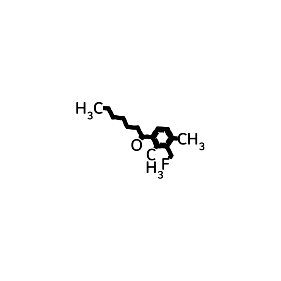 CCCCCCC(=O)c1ccc(C)c(CF)c1C